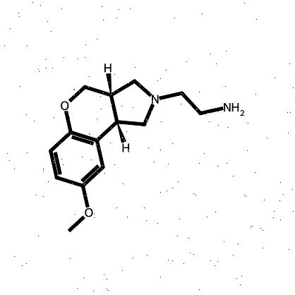 COc1ccc2c(c1)[C@H]1CN(CCN)C[C@H]1CO2